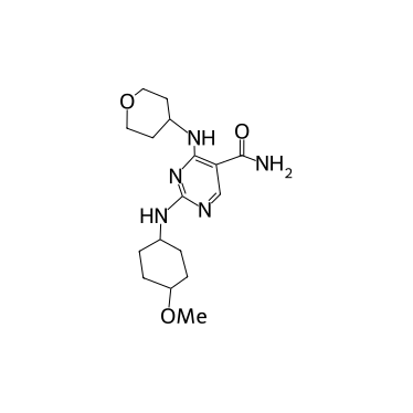 COC1CCC(Nc2ncc(C(N)=O)c(NC3CCOCC3)n2)CC1